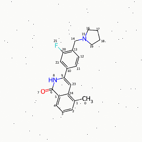 Cc1cccc2c(=O)[nH]c(-c3ccc(CN4CCCC4)c(F)c3)cc12